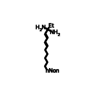 CCCCCCCCCCCCCCC=CC=CC(N)(N)CC